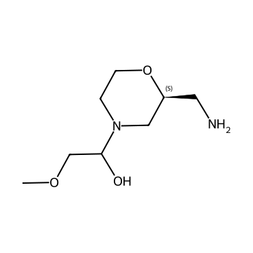 COCC(O)N1CCO[C@@H](CN)C1